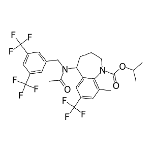 CC(=O)N(Cc1cc(C(F)(F)F)cc(C(F)(F)F)c1)C1CCCN(C(=O)OC(C)C)c2c(C)cc(C(F)(F)F)cc21